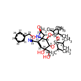 CC(C)[Si]1(C(C)C)OC2C(O[Si](C(C)C)(C(C)C)O1)C1(CC(=O)N1OCc1ccccc1)C(C#N)=CC2(O)CO